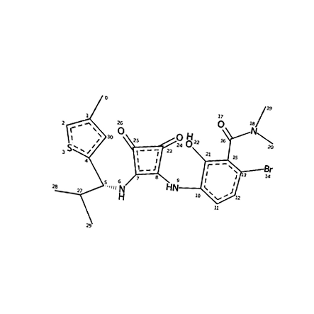 Cc1csc([C@H](Nc2c(Nc3ccc(Br)c(C(=O)N(C)C)c3O)c(=O)c2=O)C(C)C)c1